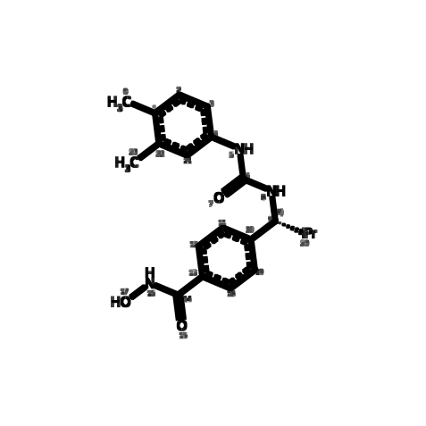 Cc1ccc(NC(=O)N[C@@H](c2ccc(C(=O)NO)cc2)C(C)C)cc1C